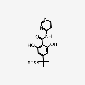 CCCCCCC(C)(C)c1cc(O)c(C(=O)Nc2ccncn2)c(O)c1